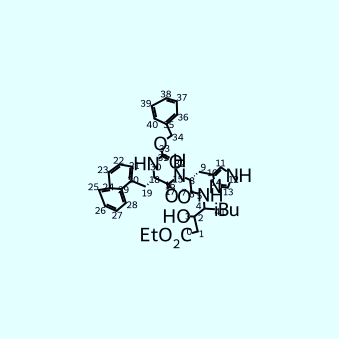 CCOC(=O)CC(O)C(NC(=O)[C@@H](Cc1c[nH]cn1)NC(=O)[C@H](Cc1cccc2ccccc12)NC(=O)OCc1ccccc1)C(C)CC